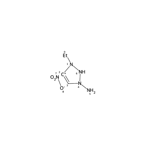 CCN1[C+]=CN(N)N1.O=[N+]([O-])[O-]